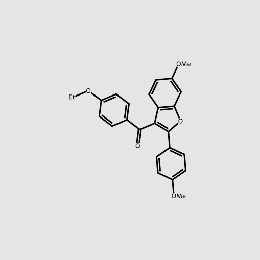 CCOc1ccc(C(=O)c2c(-c3ccc(OC)cc3)oc3cc(OC)ccc23)cc1